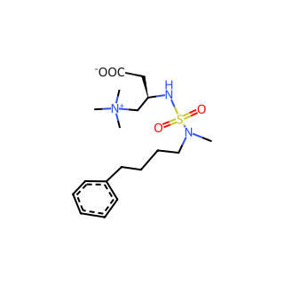 CN(CCCCc1ccccc1)S(=O)(=O)N[C@H](CC(=O)[O-])C[N+](C)(C)C